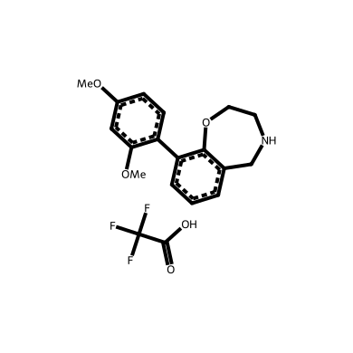 COc1ccc(-c2cccc3c2OCCNC3)c(OC)c1.O=C(O)C(F)(F)F